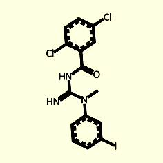 CN(C(=N)NC(=O)c1cc(Cl)ccc1Cl)c1cccc(I)c1